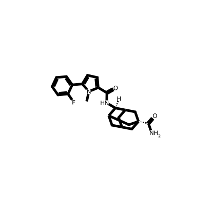 Cn1c(C(=O)N[C@H]2C3CC4CC2C[C@](C(N)=O)(C4)C3)ccc1-c1ccccc1F